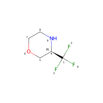 FC(F)(F)[C@H]1COCCN1